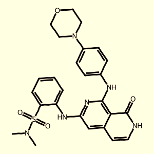 CN(C)S(=O)(=O)c1ccccc1Nc1cc2cc[nH]c(=O)c2c(Nc2ccc(N3CCOCC3)cc2)n1